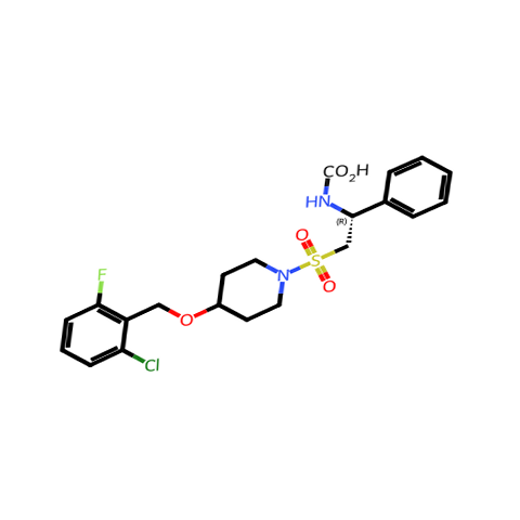 O=C(O)N[C@@H](CS(=O)(=O)N1CCC(OCc2c(F)cccc2Cl)CC1)c1ccccc1